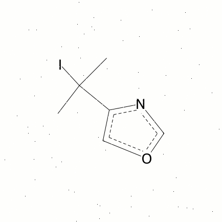 CC(C)(I)c1cocn1